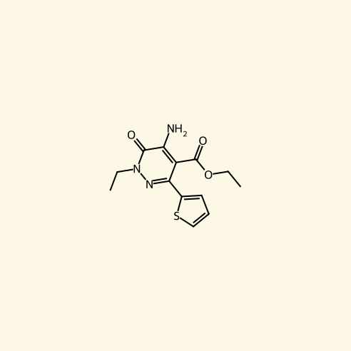 CCOC(=O)c1c(-c2cccs2)nn(CC)c(=O)c1N